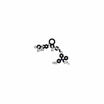 CC/C(=C(\c1ccc(O)cc1)c1ccc(OCCN2CCN(C3CC4(CCCCCCCCC4)C(Oc4ccc5c(c4)CN(C4CCC(=O)NC4=O)C5=O)CN3)CC2)cc1)c1ccccc1